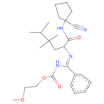 COCCOC(=O)N/C(=N\C(CC(C)(C)C(C)C)C(=O)NC1(C#N)CCCC1)c1ccccc1